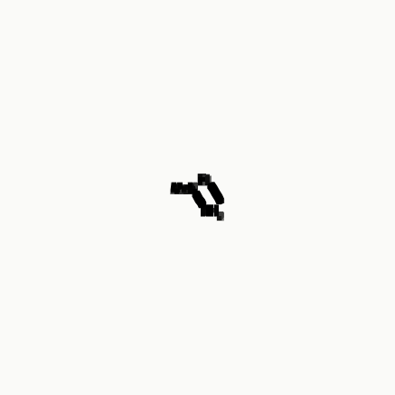 CCC.CNN